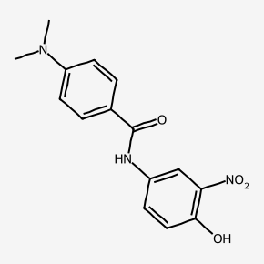 CN(C)c1ccc(C(=O)Nc2ccc(O)c([N+](=O)[O-])c2)cc1